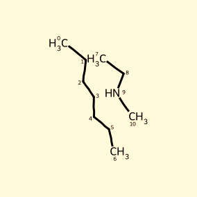 CCCCCCC.CCNC